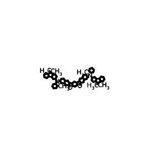 Cc1ccccc1N(c1ccc2c(c1)-c1ccccc1C2(C)C)c1ccc2cc3c(cc2c1)oc1cc2oc4cc5cc(N(c6ccc7c(c6)-c6ccccc6C7(C)C)c6ccccc6C)ccc5cc4c2cc13